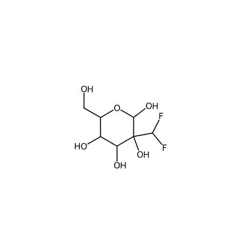 OCC1OC(O)C(O)(C(F)F)C(O)C1O